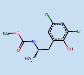 CC(C)(C)OC(=O)N[C@@H](Cc1cc(Cl)cc(Br)c1O)C(=O)O